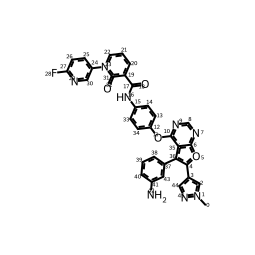 Cn1cc(-c2oc3ncnc(Oc4ccc(NC(=O)c5cccn(-c6ccc(F)nc6)c5=O)cc4)c3c2-c2cccc(N)c2)cn1